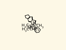 CC1=Cc2cc3c(cc2[CH]1[Ti]([CH3])([CH3])([NH]C1CCCCC1)=[Si](C)C)CCC3